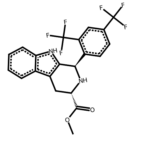 COC(=O)[C@@H]1Cc2c([nH]c3ccccc23)[C@@H](c2ccc(C(F)(F)F)cc2C(F)(F)F)N1